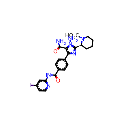 NC(=O)c1c(-c2ccc(C(=O)Nc3cc(I)ccn3)cc2)nc([C@@H]2CCCCN2C(=O)O)n1N